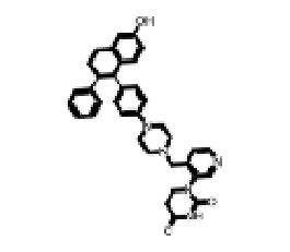 O=C1CCN(c2cnccc2CN2CCN(c3ccc([C@@H]4c5ccc(O)cc5CC[C@@H]4c4ccccc4)cc3)CC2)C(=O)N1